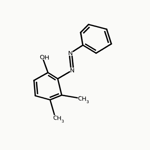 Cc1ccc(O)c(N=Nc2ccccc2)c1C